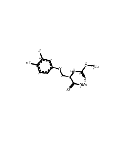 COC(=O)[C@@H](COc1ccc(F)c(F)c1)NC(=O)OC(C)(C)C